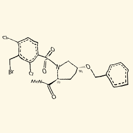 CNC(=O)[C@@H]1C[C@@H](OCc2ccccc2)CN1S(=O)(=O)c1ccc(Cl)c(CBr)c1Cl